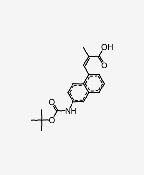 CC(=Cc1cccc2cc(NC(=O)OC(C)(C)C)ccc12)C(=O)O